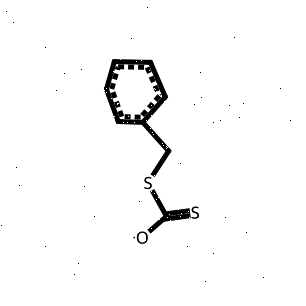 [O]C(=S)SCc1ccccc1